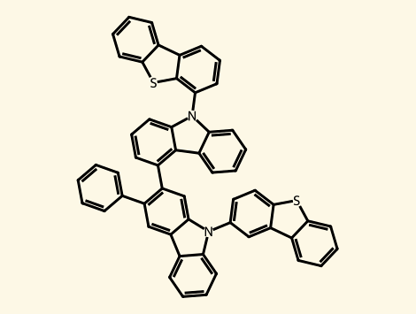 c1ccc(-c2cc3c4ccccc4n(-c4ccc5sc6ccccc6c5c4)c3cc2-c2cccc3c2c2ccccc2n3-c2cccc3c2sc2ccccc23)cc1